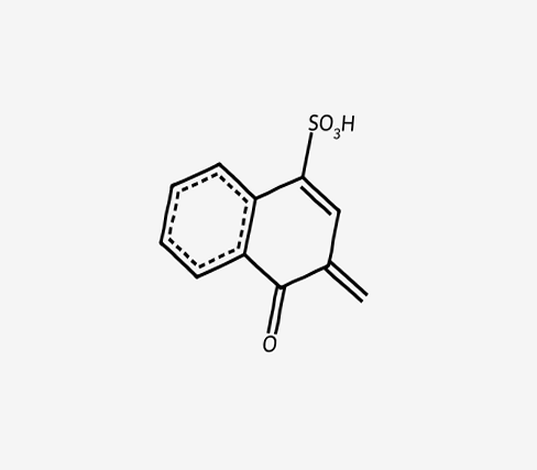 C=C1C=C(S(=O)(=O)O)c2ccccc2C1=O